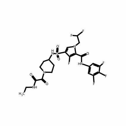 CCNC(=O)C(=O)N1CCC(NS(=O)(=O)c2cn(CC(F)F)c(C(=O)Nc3cc(F)c(F)c(F)c3)c2F)CC1